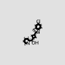 OC(c1ccccn1)C1CC(c2nc3ccc(Cl)cc3s2)C1